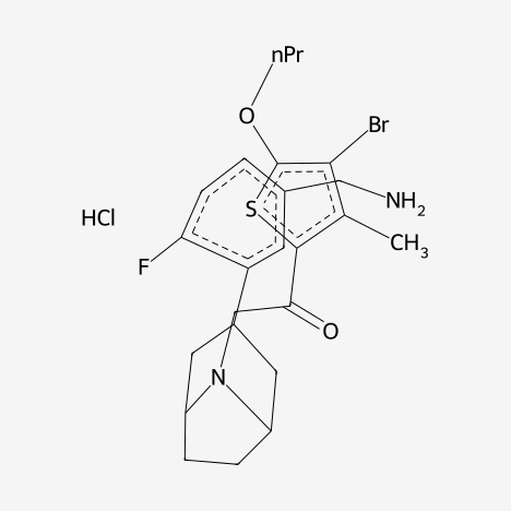 CCCOc1sc(C(=O)CN2C3CCC2CC(c2cc(CN)ccc2F)C3)c(C)c1Br.Cl